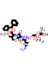 CSCC1=C(C(=O)OC(c2ccccc2)c2ccccc2)N2C(=O)C(NC(=O)C(=NOCC(=O)OC(C)(C)C)c3csc(N)n3)[C@@H]2SC1